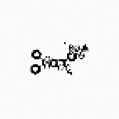 CCOC(=O)/C(=C\[C@@H]1CCC2(C1)O[C@@H](c1ccccc1)[C@H](c1ccccc1)O2)c1ccc(S(=O)(=O)C2CC2)c(Br)c1